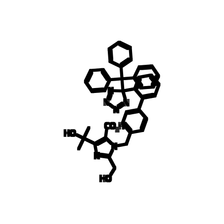 CC(C)(O)c1nc(CO)n(Cc2ccc(-c3ccccc3C3(C(c4ccccc4)(c4ccccc4)c4ccccc4)N=NN=N3)cc2)c1C(=O)O